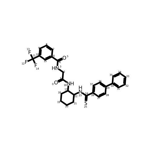 O=C(CNC(=O)c1cccc(C(F)(F)F)c1)NC1CCCCC1NC(=S)c1ccc(-c2ccccc2)cc1